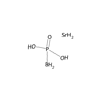 BP(=O)(O)O.[SrH2]